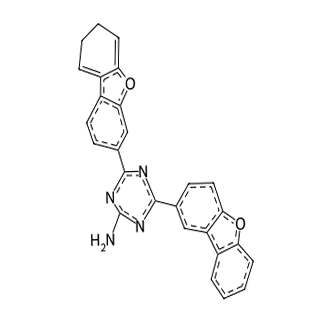 Nc1nc(-c2ccc3c4c(oc3c2)=CCCC=4)nc(-c2ccc3oc4ccccc4c3c2)n1